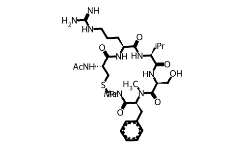 CNC(=O)[C@H](Cc1ccccc1)N(C)C(=O)[C@H](CO)NC(=O)[C@@H](NC(=O)[C@H](CCCNC(=N)N)NC(=O)[C@H](CSC(C)C)NC(C)=O)C(C)C